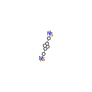 CC1(C)CSC(c2ccc(-c3cc4ccc5cc(-c6ccc(C7=NC(C)(C)CS7)cc6)cc6ccc(c3)c4c56)cc2)=N1